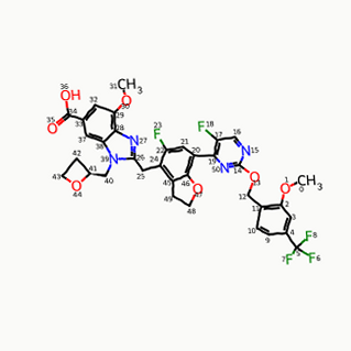 COc1cc(C(F)(F)F)ccc1COc1ncc(F)c(-c2cc(F)c(Cc3nc4c(OC)cc(C(=O)O)cc4n3C[C@@H]3CCO3)c3c2OCC3)n1